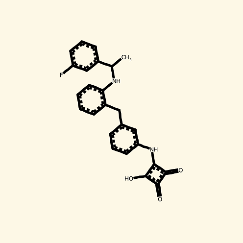 CC(Nc1ccccc1Cc1cccc(Nc2c(O)c(=O)c2=O)c1)c1cccc(F)c1